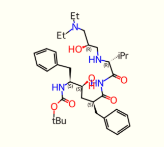 CCN(CC)C[C@H](O)CN[C@@H](C(=O)NC(=O)[C@@H](Cc1ccccc1)C[C@H](O)[C@H](Cc1ccccc1)NC(=O)OC(C)(C)C)C(C)C